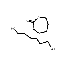 O=C1CCCCCO1.OCCCCCCO